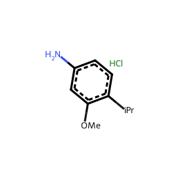 COc1cc(N)ccc1C(C)C.Cl